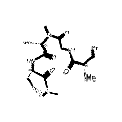 CN[C@@H](CC(C)C)C(=O)NCC(=O)N(C)[C@H](C(=O)N[C@@H](CC(=O)O)C(=O)N(C)C)C(C)C